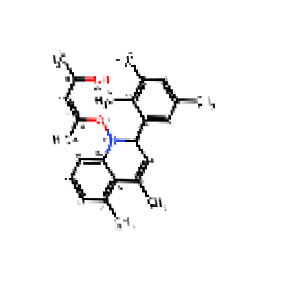 CC1=CC(c2cc(C)cc(C)c2C)N(O/C(C)=C\C(C)O)c2cccc(C)c21